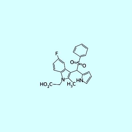 Cc1c(C(c2ccc[nH]2)S(=O)(=O)c2ccccc2)c2cc(F)ccc2n1CC(=O)O